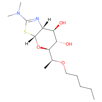 CCCCCO[C@@H](C)[C@H]1O[C@@H]2SC(N(C)C)=N[C@@H]2[C@@H](O)[C@@H]1O